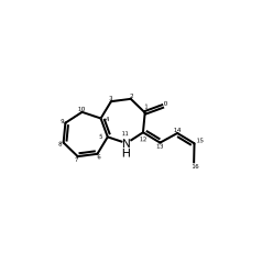 C=C1CCC2=C(C=CC=CC2)N/C1=C/C=C\C